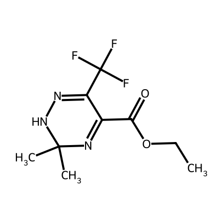 CCOC(=O)C1=NC(C)(C)NN=C1C(F)(F)F